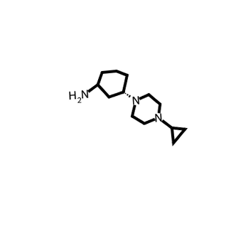 NC1CCC[C@H](N2CCN(C3CC3)CC2)C1